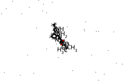 CC(C)S(=O)(=O)N1CC2CCC1CN2c1nc(N)c2c(-c3cc(C4CC4)[nH]n3)cccc2n1